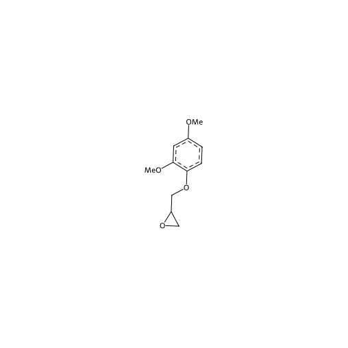 COc1ccc(OCC2CO2)c(OC)c1